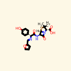 CC1(C)S[C@@H]2[C@H](NC(=O)[C@H](N=Cc3ccco3)c3ccc(O)cc3)C(=O)N2[C@H]1C(=O)O